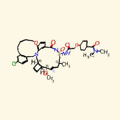 CO[C@H]1/C=C/C[C@H](C)CS(=O)(NC(=O)COC2CCC(C(=O)N(C)C)CC2)=NC(=O)c2ccc3c(c2)N(Cc2ccc(Cl)cc2CCCCCO3)C[C@@H]2CC[C@H]21